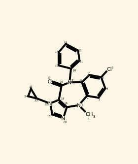 CN1c2ccc(Cl)cc2N(c2ccccc2)C(=O)c2c1ncn2C1CC1